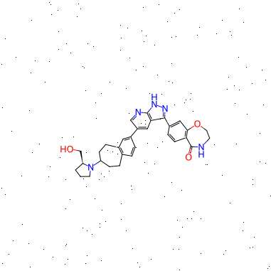 O=C1NCCOc2cc(-c3n[nH]c4ncc(-c5ccc6c(c5)CCC(N5CCC[C@H]5CO)CC6)cc34)ccc21